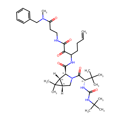 C=CCCC(NC(=O)[C@@H]1[C@@H]2[C@H](CN1C(=O)[C@@H](NC(=O)NC(C)(C)C)C(C)(C)C)C2(C)C)C(=O)C(=O)NCCC(=O)N(C)Cc1ccccc1